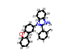 Cc1ccccc1-c1n(-c2ccc3oc4ccccc4c3c2)c2ccccc2[n+]1C